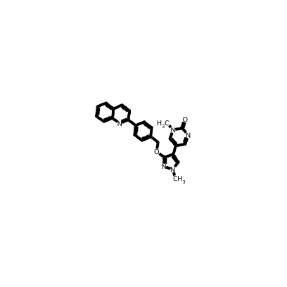 Cn1cc(-c2cnc(=O)n(C)c2)c(OCc2ccc(-c3ccc4ccccc4n3)cc2)n1